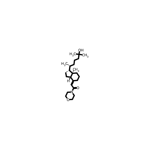 C[C@H](CCCC(C)(C)O)[C@H]1CC[C@H]2/C(=C/C(=O)N3CCOCC3)CCC[C@]12C